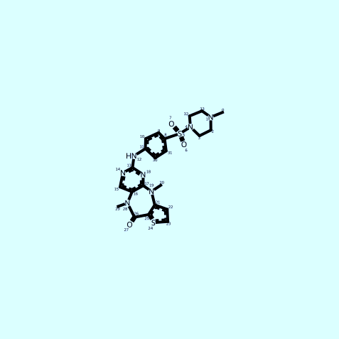 CN1CCN(S(=O)(=O)c2ccc(Nc3ncc4c(n3)N(C)c3ccsc3C(=O)N4C)cc2)CC1